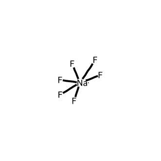 [F][Na]([F])([F])([F])([F])[F]